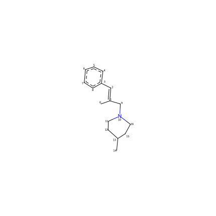 C/C(=C\c1ccccc1)CN1CCC(C)CC1